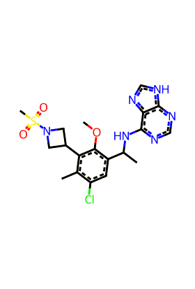 COc1c(C(C)Nc2ncnc3[nH]cnc23)cc(Cl)c(C)c1C1CN(S(C)(=O)=O)C1